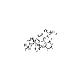 Cc1ccccc1-c1c(CC(N)=O)ccc(-n2cc(C(F)(F)F)cn2)c1S(N)(=O)=O